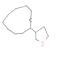 B1CCC(C2CCCCCCCCC2)C1